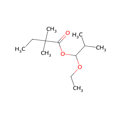 CCOC(OC(=O)C(C)(C)CC)C(C)C